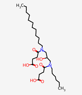 CCCCCCCCCCCCN(CC(O)CN(CCCCCC)C(=O)CCC(=O)O)C(=O)CCC(=O)O